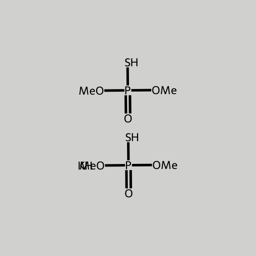 COP(=O)(S)OC.COP(=O)(S)OC.[KH]